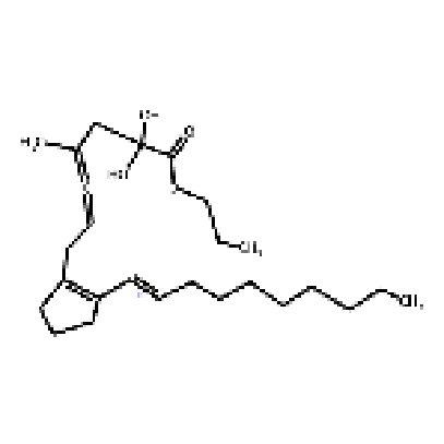 CCCCCCCC/C=C/C1=C(CC=C=C(C)CC(O)(O)C(=O)OCCC)CCC1